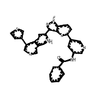 O=C(Nc1cncc(-c2ccc3[nH]nc(-c4cc5c(-c6ccsc6)cncc5[nH]4)c3n2)c1)c1ccccc1